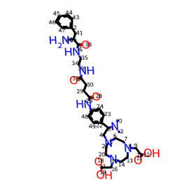 CN(C)C(CN1CCN(CC(=O)O)CCN(CC(=O)O)CC1)c1ccc(NC(=O)CCC(=O)NCCNC(=O)C(N)Cc2ccccc2)cc1